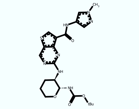 Cn1cc(NC(=O)c2csc3cnc(N[C@@H]4CCCO[C@H]4NC(=O)OC(C)(C)C)nc23)cn1